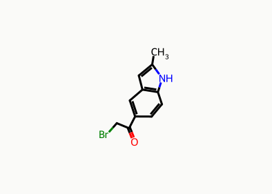 Cc1cc2cc(C(=O)CBr)ccc2[nH]1